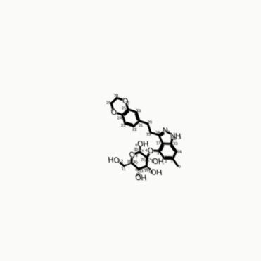 Cc1cc(O[C@]2(O)[C@H](O)O[C@H](CO)[C@@H](O)[C@@H]2O)c2c(CCc3ccc4c(c3)OCCO4)n[nH]c2c1